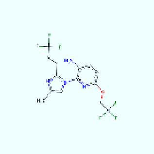 Cc1cn(-c2nc(OCC(F)(F)F)ccc2N)c(CCC(F)(F)F)n1